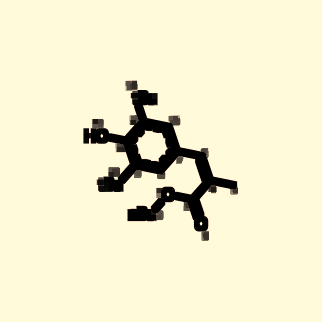 CCCCOC(=O)C(C)=Cc1cc(C(C)(C)C)c(O)c(C(C)(C)C)c1